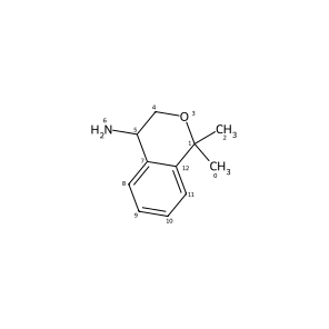 CC1(C)OCC(N)c2ccccc21